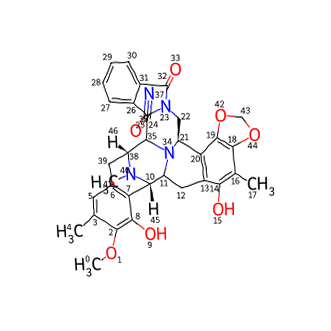 COc1c(C)cc2c(c1O)[C@H]1C3Cc4c(O)c(C)c5c(c4[C@H](CN4C(=O)c6ccccc6C4=O)N3C(C#N)[C@@H](C2)N1C)OCO5